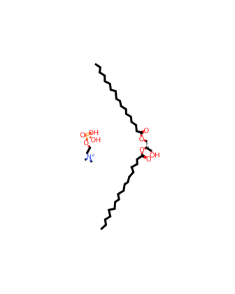 CCCCCCCCCCCCCCCCCC(=O)OC[C@H](CO)OC(=O)CCCCCCCCCCCCCCCCC.C[N+](C)(C)CCOP(=O)(O)O